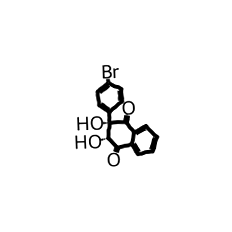 O=C1c2ccccc2C(=O)[C@](O)(c2ccc(Br)cc2)[C@H]1O